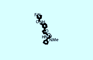 CNC(=O)[C@@H](NC(=O)c1ccc(-c2cccc(CNC(=O)c3ccnc(F)c3)c2)o1)C1CCCCC1